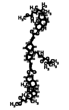 COC(=O)CC[C@@H](C)C(C)C1(C)CCC2[C@@H](CC[C@@H]3C[C@H](OC(=O)C#Cc4ccc5c6ccc(C#CC(=O)O[C@@H]7CCC8(C)C(CC[C@@H]9C8CCC8(C)C([C@H](C)CCC(=O)OC)CC[C@@H]98)C7)cc6n(CCNC(=O)OC(C)(C)C)c5c4)CCC23C)C1